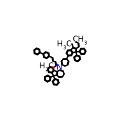 C=C/C(=C\C=C\c1ccc(-c2ccccc2)cc1)N(C1=CC=C(c2ccc3c(c2)C(c2ccccc2)(c2ccccc2)C(/C=C\CC)=C3CC)C=CC1)C1=CCC=CC2=C1c1ccccc1C2(c1ccccc1)c1ccccc1